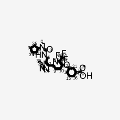 CN(C(=O)NCc1c(-c2ccc(O[C@H]3CCC[C@H](C(=O)O)C3)c(C(F)(F)F)n2)nnn1C)C1CCCC1